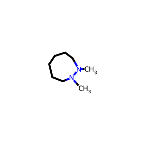 CN1CCCCCCN1C